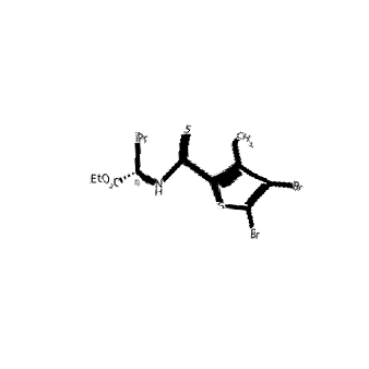 CCOC(=O)[C@@H](NC(=S)c1sc(Br)c(Br)c1C)C(C)C